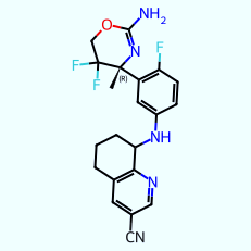 C[C@]1(c2cc(NC3CCCc4cc(C#N)cnc43)ccc2F)N=C(N)OCC1(F)F